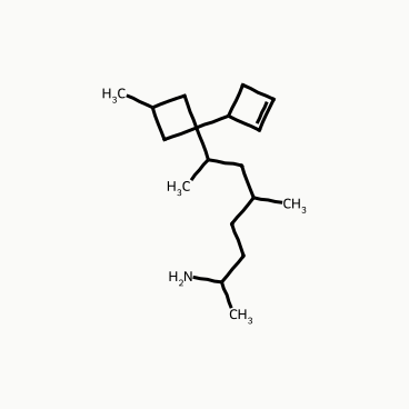 CC(N)CCC(C)CC(C)C1(C2C=CC2)CC(C)C1